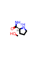 CO.NC(=O)[C@@H]1CCCN1